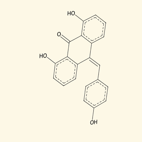 O=C1c2c(O)cccc2C(=Cc2ccc(O)cc2)c2cccc(O)c21